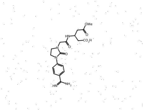 COC(=O)CC(CC(=O)O)NC(=O)CN1CCN(c2ccc(C(=N)N)cc2)C1=O